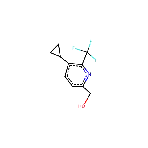 OCc1ccc(C2CC2)c(C(F)(F)F)n1